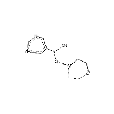 OB(ON1CCOCC1)c1cncnc1